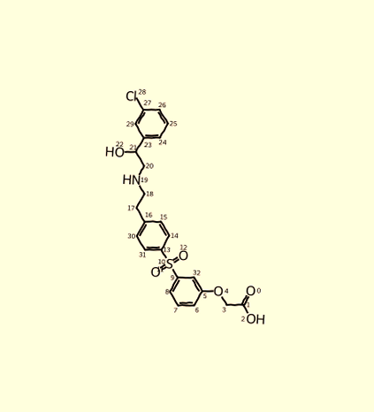 O=C(O)COc1cccc(S(=O)(=O)c2ccc(CCNCC(O)c3cccc(Cl)c3)cc2)c1